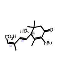 CCCCC1=C(C)[C@@](O)(/C=C/C(C)=C\C(=O)O)C(C)(C)CC1=O